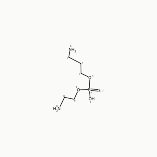 NCCCOP(O)(=S)OCCN